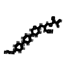 C=C(C)C(=O)OCC(CO)CC1CCC(c2ccc(-c3ccc(CCCCC)cc3)cc2)CO1